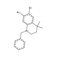 CCc1cc2c(cc1C(C)=O)N(Cc1ccccc1)CCC2(C)C